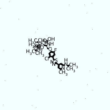 Cc1cc(-c2nnc(-c3cc(F)c(OC[C@H](NC(=O)O)[C@@H](C)OP(=O)(OC(C)(C)C)OC(C)(C)C)cc3Cl)s2)cc(NC(C)C)n1